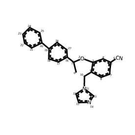 CC(Oc1cc(C#N)ccc1Cn1ccnc1)c1ccc(-c2ccccc2)cc1